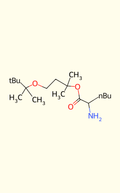 CCCCC(N)C(=O)OC(C)(C)CCOC(C)(C)C(C)(C)C